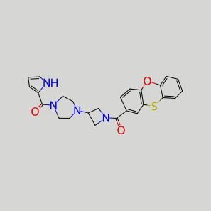 O=C(c1ccc2c(c1)Sc1ccccc1O2)N1CC(N2CCN(C(=O)c3ccc[nH]3)CC2)C1